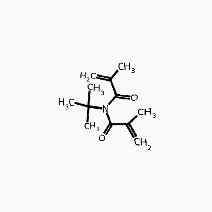 C=C(C)C(=O)N(C(=O)C(=C)C)C(C)(C)C